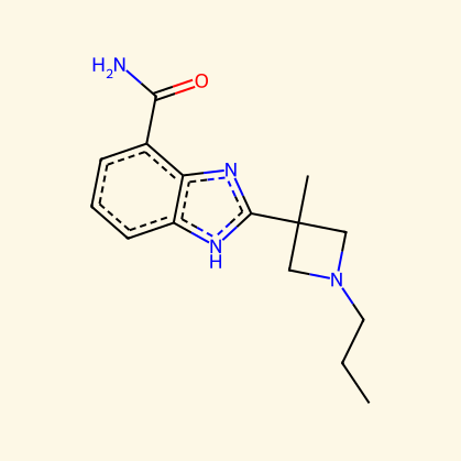 CCCN1CC(C)(c2nc3c(C(N)=O)cccc3[nH]2)C1